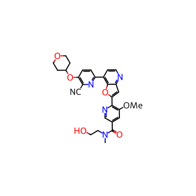 COc1cc(C(=O)N(C)CCO)cnc1-c1cc2nccc(-c3ccc(OC4CCOCC4)c(C#N)n3)c2o1